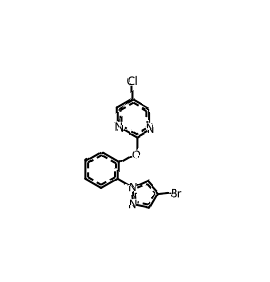 Clc1cnc(Oc2ccccc2-n2cc(Br)cn2)nc1